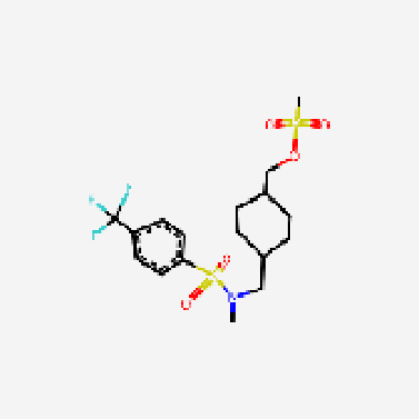 CN(CC1CCC(COS(C)(=O)=O)CC1)S(=O)(=O)c1ccc(C(F)(F)F)cc1